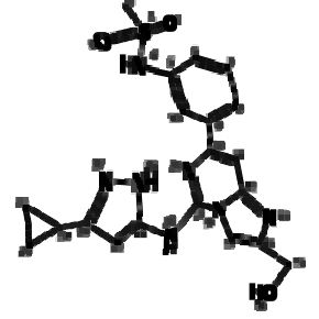 CS(=O)(=O)Nc1cccc(-c2cc3nc(CO)cn3c(Nc3cc(C4CC4)n[nH]3)n2)c1